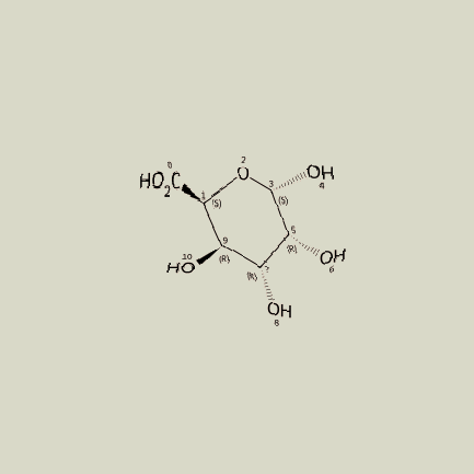 O=C(O)[C@H]1O[C@H](O)[C@H](O)[C@H](O)[C@H]1O